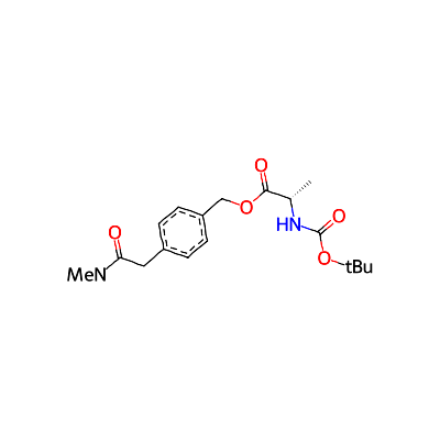 [CH2]NC(=O)Cc1ccc(COC(=O)[C@H](C)NC(=O)OC(C)(C)C)cc1